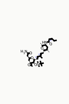 C[CH]/C=C\C(=O)N[C@@H]1C[C@H](C)[C@H](C/C=C(C)/C=C/[C@H]2O[C@H](CC(N)=O)C[C@@]3(CO3)[C@@H]2O[Si](C)(C)C(C)(C)C)O[C@@H]1C